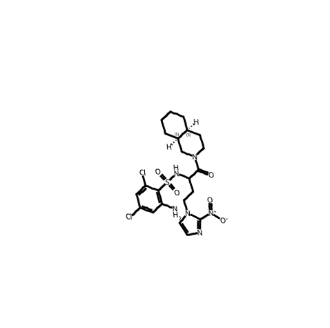 Nc1cc(Cl)cc(Cl)c1S(=O)(=O)NC(CCn1ccnc1[N+](=O)[O-])C(=O)N1CC[C@@H]2CCCC[C@@H]2C1